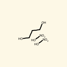 O=[N+]([O-])O.O=[N+]([O-])O.OCCCO